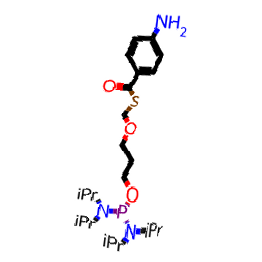 CC(C)N(C(C)C)P(OCCCOCSC(=O)c1ccc(N)cc1)N(C(C)C)C(C)C